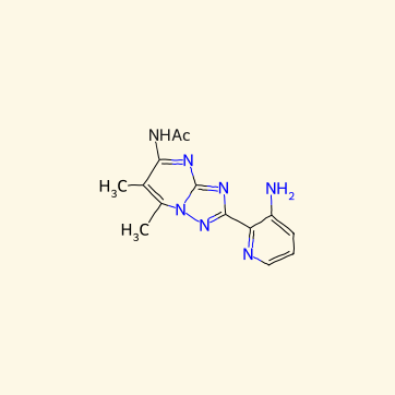 CC(=O)Nc1nc2nc(-c3ncccc3N)nn2c(C)c1C